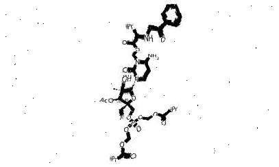 CC(=O)O[C@@H]1[C@@](CF)(COP(=O)(OCOC(=O)C(C)C)OCOC(=O)C(C)C)O[C@@H](N2C=CC(N)N(COC(=O)C(NCC(=O)c3ccccc3)C(C)C)C2=O)[C@]1(C)O